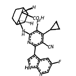 N#Cc1c(-c2c[nH]c3ncc(F)cc23)nc(N[C@H]2C3CCC(CC3)[C@@H]2C(=O)O)c(F)c1C1CC1